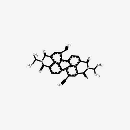 C#Cc1cc2c3c(ccc4c5c(C#C)cc6c7c(ccc(c1c34)c75)C(=O)N(C(C)C)C6=O)C(=O)N(C(C)C)C2=O